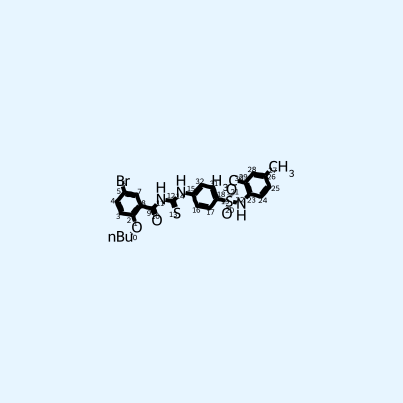 CCCCOc1ccc(Br)cc1C(=O)NC(=S)Nc1ccc(S(=O)(=O)Nc2ccc(C)cc2C)cc1